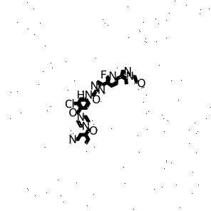 CCC(CCN(C)C)C(=O)N1CCN(C(=O)c2ccc(NC(=O)c3ncc(-c4ccc(-c5cnn(CCOC)c5C)nc4F)n3C)cc2Cl)CC1